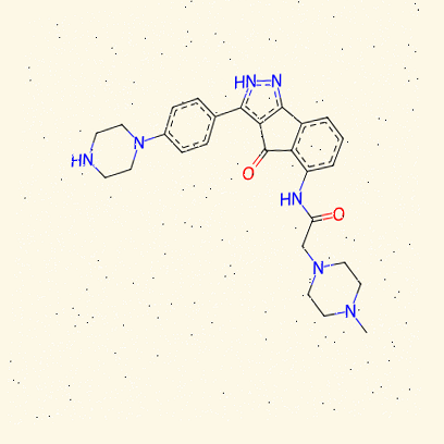 CN1CCN(CC(=O)Nc2cccc3c2C(=O)c2c-3n[nH]c2-c2ccc(N3CCNCC3)cc2)CC1